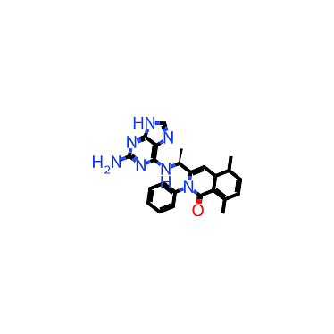 CC1=C2C(=O)N(c3ccccc3)C([C@H](C)Nc3nc(N)nc4[nH]cnc34)=CC2C(C)C=C1